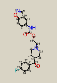 O=C(Nc1ccc2oncc2c1)OCCN1CCC(C(=O)c2ccc(F)cc2)CC1